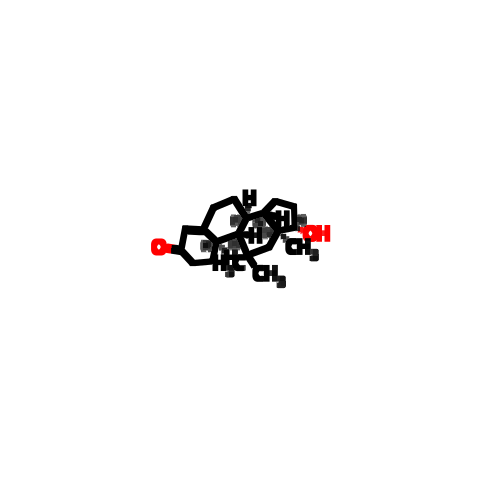 CC1(C)C[C@]2(C)[C@@H](O)CC[C@H]2[C@@H]2CCC3=CC(=O)CC[C@@H]3[C@H]21